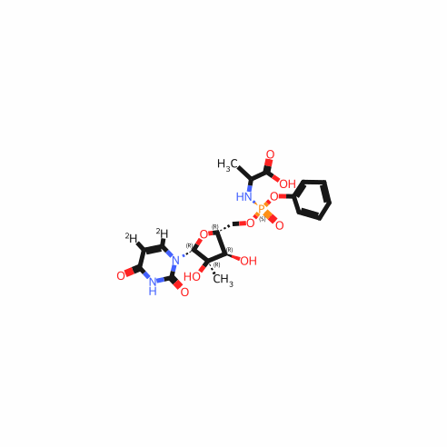 [2H]c1c([2H])n([C@@H]2O[C@H](CO[P@@](=O)(NC(C)C(=O)O)Oc3ccccc3)[C@@H](O)[C@@]2(C)O)c(=O)[nH]c1=O